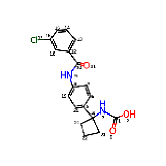 O=C(O)NC1(c2ccc(NC(=O)c3cccc(Cl)c3)cc2)CCC1